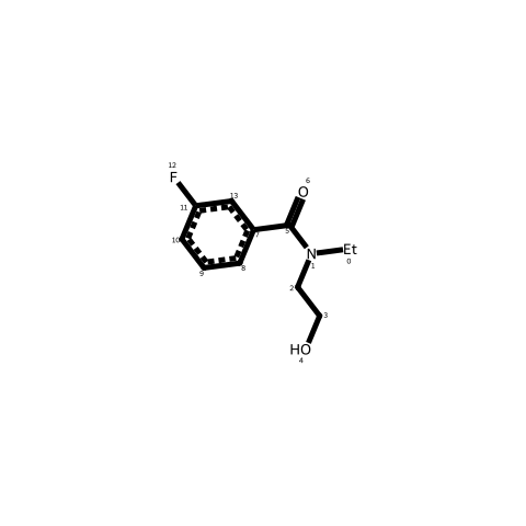 CCN(CCO)C(=O)c1cccc(F)c1